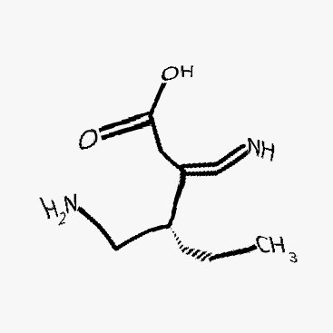 CC[C@H](CN)C(=N)C(=O)O